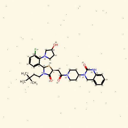 CC(C)(C)CCN1C(=O)[C@H](CC(=O)N2CCC(N3Cc4ccccc4NC3=O)CC2)SC1c1cccc(F)c1N1CCC(O)C1